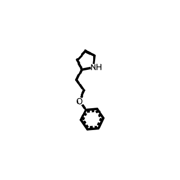 c1ccc(OCCC2CCCN2)cc1